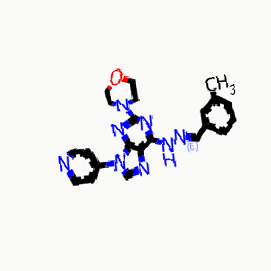 Cc1cccc(/C=N/Nc2nc(N3CCOCC3)nc3c2ncn3-c2ccncc2)c1